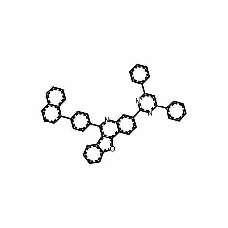 c1ccc(-c2cc(-c3ccccc3)nc(-c3ccc4c(c3)nc(-c3ccc(-c5cccc6ccccc56)cc3)c3c5ccccc5oc43)n2)cc1